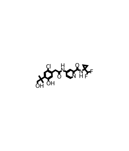 CC(C)(CO)c1cc(Cl)c(CC(=O)Nc2ccnc(C(=O)NC3(C(F)F)CC3)c2)cc1O